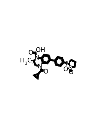 C[C@H]1CN(C(=O)C2CC2)c2cc(-c3ccc(N4CCCS4(=O)=O)cc3)ccc2N1C(=O)O